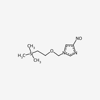 C[Si](C)(C)CCOCn1cnc(N=O)c1